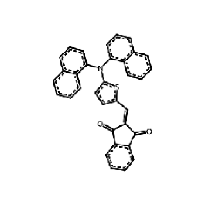 O=C1C(=Cc2ccc(N(c3cccc4ccccc34)c3cccc4ccccc34)s2)C(=O)c2ccccc21